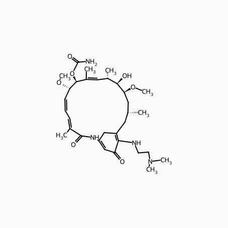 CO[C@H]1/C=C\C=C(/C)C(=O)NC2=CC(=O)C(NCCN(C)C)=C(C2)C[C@@H](C)C[C@H](OC)[C@H](O)[C@@H](C)/C=C(\C)[C@@H]1OC(N)=O